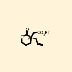 C=CC[C@@]1(CC(=O)OCC)CCCOC1=O